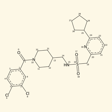 O=C(c1ccc(Cl)c(Cl)c1)N1CCC(CNS(=O)(=O)Cc2cccc(C3CCCC3)n2)CC1